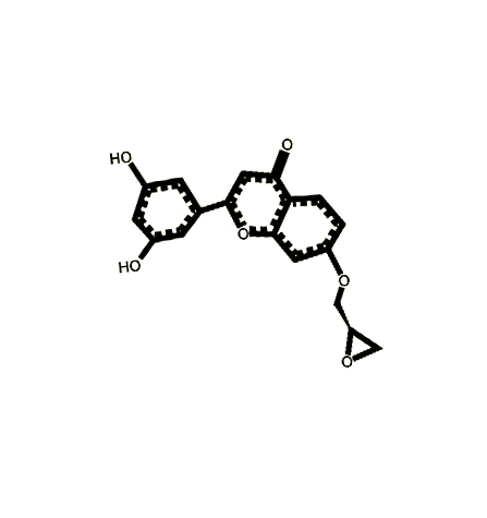 O=c1cc(-c2cc(O)cc(O)c2)oc2cc(OC[C@H]3CO3)ccc12